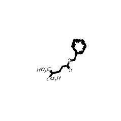 O=C(CCC(C(=O)O)C(=O)O)OCc1ccccc1